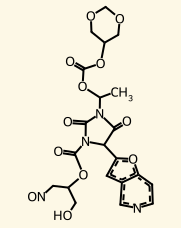 CC(OC(=O)OC1COCOC1)N1C(=O)C(c2cc3cnccc3o2)N(C(=O)OC(CO)CN=O)C1=O